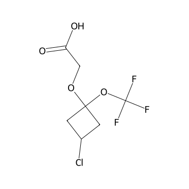 O=C(O)COC1(OC(F)(F)F)CC(Cl)C1